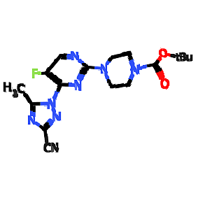 Cc1nc(C#N)nn1-c1nc(N2CCN(C(=O)OC(C)(C)C)CC2)ncc1F